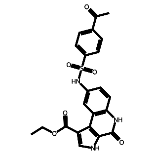 CCOC(=O)c1c[nH]c2c(=O)[nH]c3ccc(NS(=O)(=O)c4ccc(C(C)=O)cc4)cc3c12